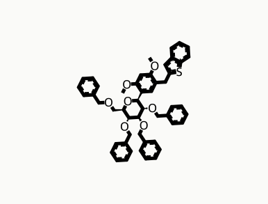 COc1cc(OC)c([C@@H]2O[C@H](COCc3ccccc3)[C@@H](OCc3ccccc3)[C@H](OCc3ccccc3)[C@H]2OCc2ccccc2)cc1Cc1cc2ccccc2s1